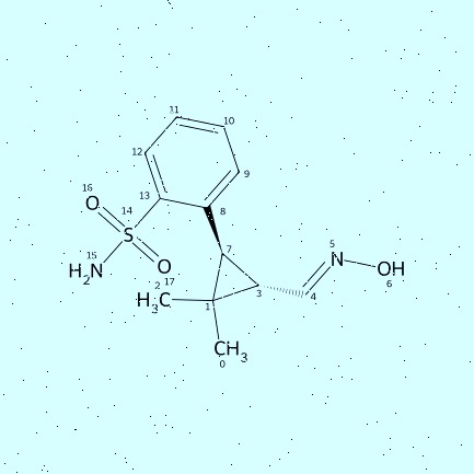 CC1(C)[C@@H](C=NO)[C@@H]1c1ccccc1S(N)(=O)=O